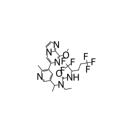 CCN(C(=O)NC(CCC(F)(F)F)C(F)(F)F)C(C)c1cnc(C)c(-c2cn3ccnc3c(OC)n2)c1